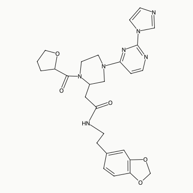 O=C(CC1CN(c2ccnc(-n3ccnc3)n2)CCN1C(=O)C1CCCO1)NCCc1ccc2c(c1)OCO2